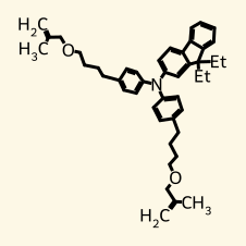 C=C(C)COCCCCc1ccc(N(c2ccc(CCCCOCC(=C)C)cc2)c2ccc3c(c2)C(CC)(CC)c2ccccc2-3)cc1